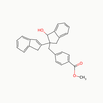 COC(=O)c1ccc(CC2(C3=Cc4ccccc4C3)Cc3ccccc3C2O)cc1